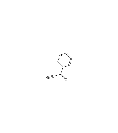 N#CC(=O)c1cc[c]cc1